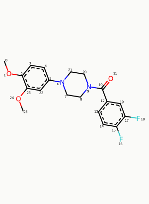 COc1ccc(N2CCN(C(=O)c3ccc(F)c(F)c3)CC2)cc1OC